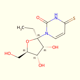 CC[C@@]1(n2ccc(=S)[nH]c2=O)O[C@H](CO)[C@@H](O)[C@H]1O